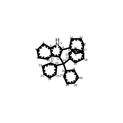 c1ccc(-c2[nH]c3ccccc3c2C(c2ccccc2)(c2ccccc2)c2ccccc2)cc1